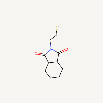 O=C1C2CCCCC2C(=O)N1CCS